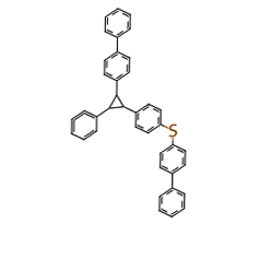 C1=C=C(C2C(c3ccc(Sc4ccc(-c5ccccc5)cc4)cc3)C2c2ccc(-c3ccccc3)cc2)C=CC=1